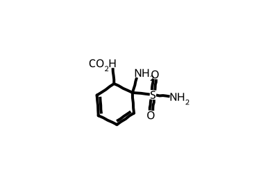 NC1(S(N)(=O)=O)C=CC=CC1C(=O)O